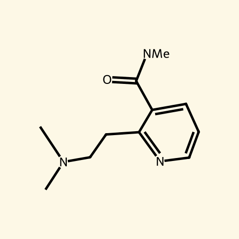 CNC(=O)c1cccnc1CCN(C)C